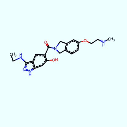 CCNc1n[nH]c2cc(O)c(C(=O)N3Cc4ccc(OCCNC)cc4C3)cc12